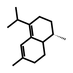 CC1=CC2=C(C(C)C)CC[C@H](C)C2CC1